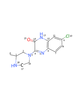 CC1CN(c2nc3ccc(Cl)cc3[nH]c2=O)CCN1